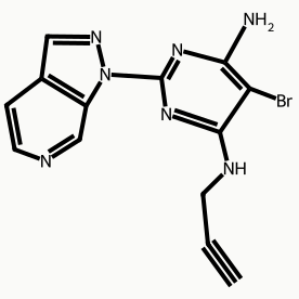 C#CCNc1nc(-n2ncc3ccncc32)nc(N)c1Br